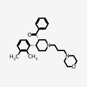 Cc1cccc([C@H]2[CH]CN(CCCN3CCOCC3)C[C@H]2C(=O)c2ccccc2)c1C